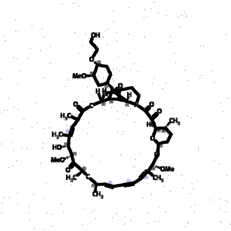 CO[C@H]1C[C@@H]2CC[C@@H](C)[C@@](O)(O2)C(=O)C(=O)N2CCCC3[C@H]2C(=O)O[C@@H](CC(=O)C(C)/C=C(\C)[C@@H](O)[C@@H](OC)C(=O)[C@H](C)C[C@H](C)/C=C/C=C/C=C/1C)[C@H]3C[C@@H]1CC[C@@H](OCCO)[C@H](OC)C1